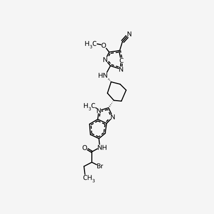 CCC(Br)C(=O)Nc1ccc2c(c1)nc([C@H]1CCC[C@@H](Nc3ncc(C#N)c(OC)n3)C1)n2C